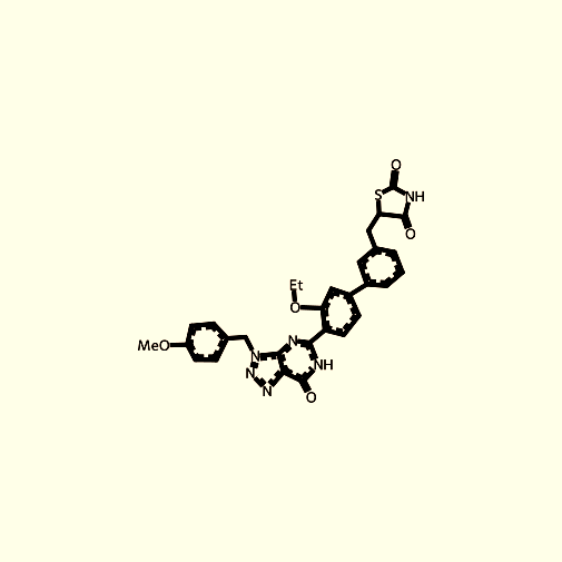 CCOc1cc(-c2cccc(CC3SC(=O)NC3=O)c2)ccc1-c1nc2c(nnn2Cc2ccc(OC)cc2)c(=O)[nH]1